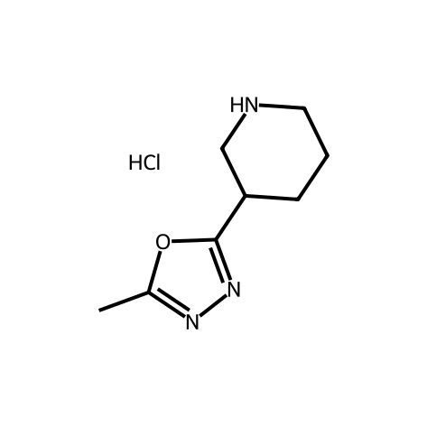 Cc1nnc(C2CCCNC2)o1.Cl